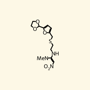 CN/C(=C\[N+](=O)[O-])NCCSCc1ccc(C2OCCO2)o1